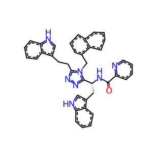 O=C(N[C@H](Cc1c[nH]c2ccccc12)c1nnc(CCc2c[nH]c3ccccc23)n1Cc1cccc2ccccc12)c1ccccn1